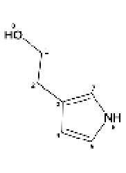 OCCc1cc[nH]c1